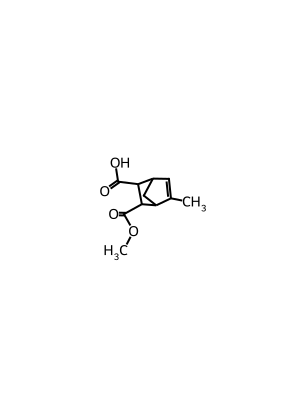 COC(=O)C1C2CC(C=C2C)C1C(=O)O